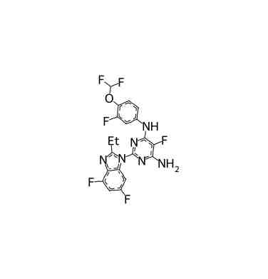 CCc1nc2c(F)cc(F)cc2n1-c1nc(N)c(F)c(Nc2ccc(OC(F)F)c(F)c2)n1